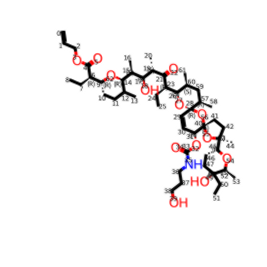 C=CCOC(=O)[C@H](CC)[C@H]1CCC(C)[C@H]([C@@H](C)[C@H](O)[C@H](C)C(=O)[C@H](CC)[C@H]2O[C@]3(C=C[C@@H](OC(=O)NCCCO)[C@]4(CC[C@@](C)([C@H]5CC[C@](O)(CC)[C@H](C)O5)O4)O3)[C@H](C)C[C@@H]2C)O1